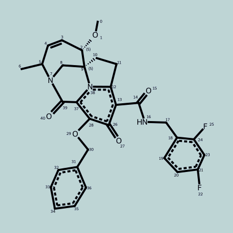 CO[C@H]1C=CC(C)N2C[C@@]13CCc1c(C(=O)NCc4ccc(F)cc4F)c(=O)c(OCc4ccccc4)c(n13)C2=O